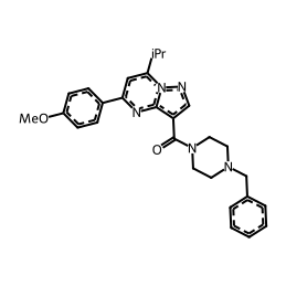 COc1ccc(-c2cc(C(C)C)n3ncc(C(=O)N4CCN(Cc5ccccc5)CC4)c3n2)cc1